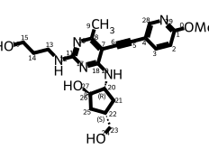 COc1ccc(C#Cc2c(C)nc(NCCCO)nc2N[C@@H]2C[C@H](CO)C[C@H]2O)cn1